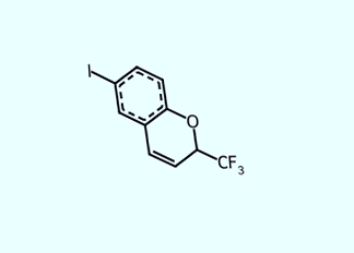 FC(F)(F)C1C=Cc2cc(I)ccc2O1